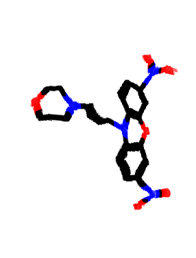 O=[N+]([O-])c1ccc2c(c1)Oc1cc([N+](=O)[O-])ccc1N2CCN1CCOCC1